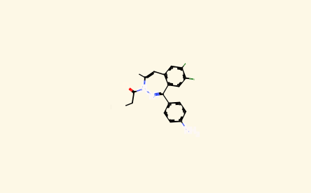 CCC(=O)N1N=C(c2ccc(N)cc2)c2cc(Cl)c(Cl)cc2C=C1C